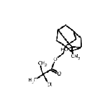 CCC(C)(C)C(=O)OCC12CC3CC(C1)C(C)(O)C(C3)C2